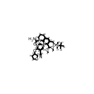 COC(OC)c1nc2c(cc1CO[Si](C)(C)C(C)(C)C)CCC[N@@+]2(C(N)=O)c1ncc(C#N)c(OC2CCOC2)n1